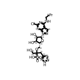 CC(C)CNc1nc(Cl)nc2c1cnn2[C@@H]1O[C@H](COC(CO)(Cc2nn[nH]n2)P(=O)(O)O)[C@@H](O)[C@H]1O